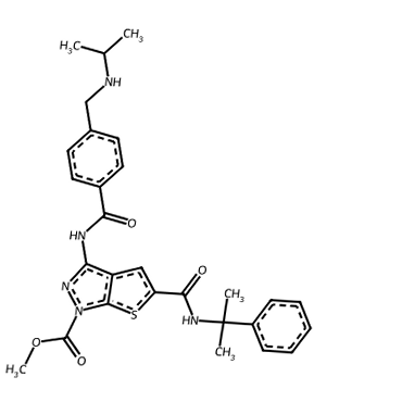 COC(=O)n1nc(NC(=O)c2ccc(CNC(C)C)cc2)c2cc(C(=O)NC(C)(C)c3ccccc3)sc21